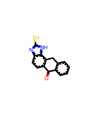 O=C1c2ccccc2Cc2c1ccc1nc(S)[nH]c21